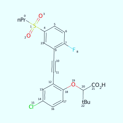 CCCS(=O)(=O)c1ccc(F)c(C#Cc2cc(Cl)ccc2OC(C(=O)O)C(C)(C)C)c1